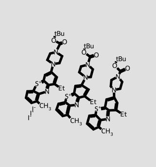 CCc1cc(N2CCN(C(=O)OC(C)(C)C)CC2)cc2[s+]c3cccc(C)c3nc12.CCc1cc(N2CCN(C(=O)OC(C)(C)C)CC2)cc2[s+]c3cccc(C)c3nc12.CCc1cc(N2CCN(C(=O)OC(C)(C)C)CC2)cc2[s+]c3cccc(C)c3nc12.[I-].[I-].[I-]